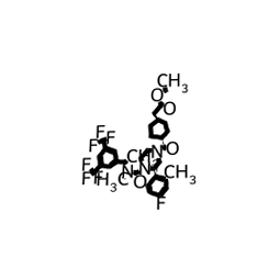 CCOC(=O)C[C@H]1CC[C@H](C(=O)N2CCN(C(=O)N(C)C(C)c3cc(C(F)(F)F)cc(C(F)(F)F)c3)[C@@H](c3ccc(F)cc3C)C2)CC1